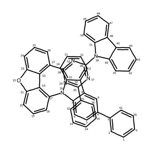 c1ccc(-c2ccc3c(c2)c2ccccc2n3-c2cccc3oc4cccc(-c5nc(-c6ccccc6)nc(-n6c7ccccc7c7ccccc76)n5)c4c23)cc1